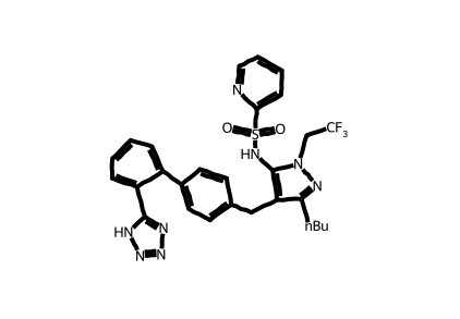 CCCCc1nn(CC(F)(F)F)c(NS(=O)(=O)c2ccccn2)c1Cc1ccc(-c2ccccc2-c2nnn[nH]2)cc1